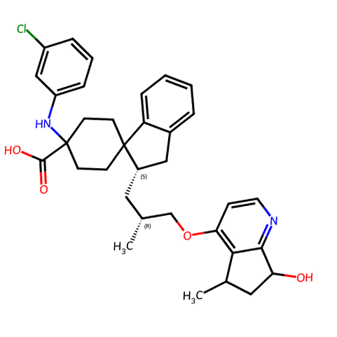 CC1CC(O)c2nccc(OC[C@H](C)C[C@H]3Cc4ccccc4C34CCC(Nc3cccc(Cl)c3)(C(=O)O)CC4)c21